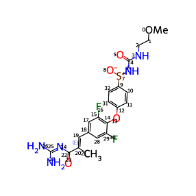 COCCNC(=O)N[S+]([O-])c1ccc(Oc2c(F)cc(/C=C(\C)C(=O)N=C(N)N)cc2F)cc1